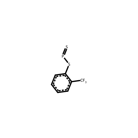 FC(F)(F)c1ccccc1SP=S